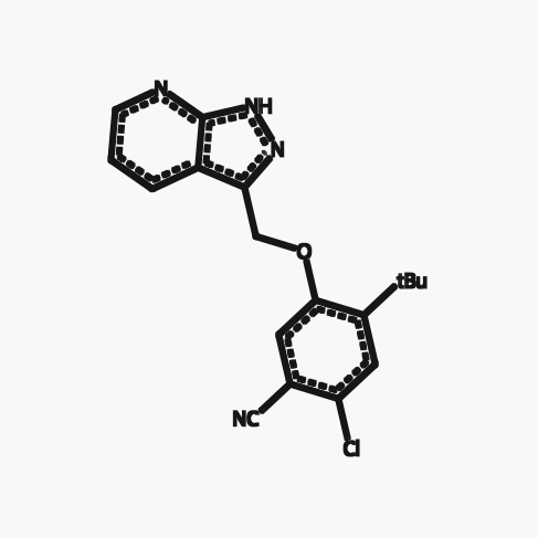 CC(C)(C)c1cc(Cl)c(C#N)cc1OCc1n[nH]c2ncccc12